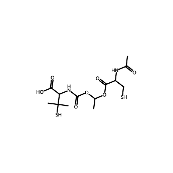 CC(=O)NC(CS)C(=O)OC(C)OC(=O)NC(C(=O)O)C(C)(C)S